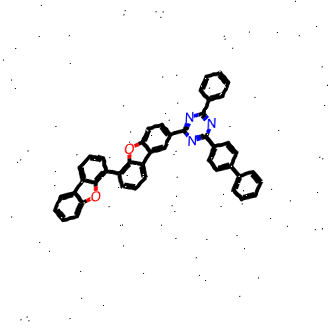 c1ccc(-c2ccc(-c3nc(-c4ccccc4)nc(-c4ccc5oc6c(-c7cccc8c7oc7ccccc78)cccc6c5c4)n3)cc2)cc1